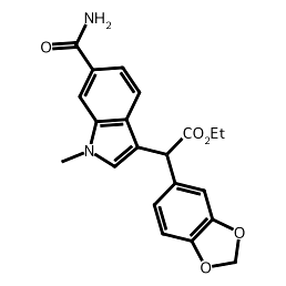 CCOC(=O)C(c1ccc2c(c1)OCO2)c1cn(C)c2cc(C(N)=O)ccc12